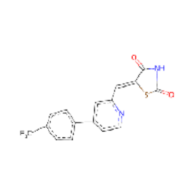 O=C1NC(=O)C(=Cc2cc(-c3ccc(C(F)(F)F)cc3)ccn2)S1